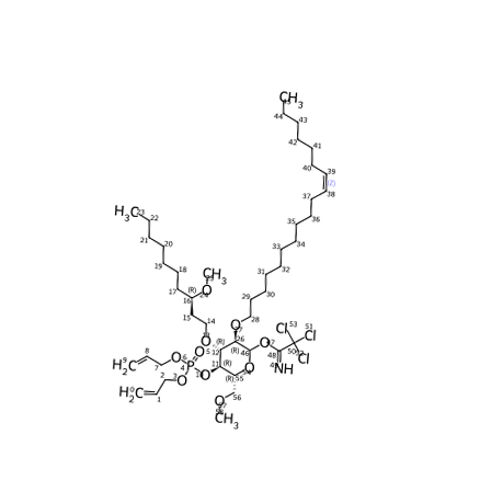 C=CCOP(=O)(OCC=C)O[C@H]1[C@H](OCC[C@@H](CCCCCCC)OC)[C@@H](OCCCCCCCCCC/C=C\CCCCCC)C(OC(=N)C(Cl)(Cl)Cl)O[C@@H]1COC